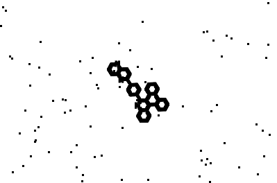 c1cnc2ccc(-c3ccc(-c4nc5ccccc5c5c6ccccc6c6ccccc6c45)cc3)nc2c1